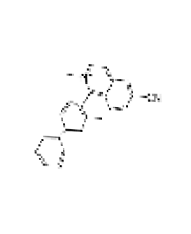 Cc1cc(-c2ccccc2)ccc1-c1c2ccc(C#N)cc2cc[n+]1C